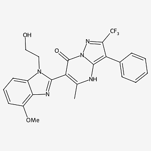 COc1cccc2c1nc(-c1c(C)[nH]c3c(-c4ccccc4)c(C(F)(F)F)nn3c1=O)n2CCO